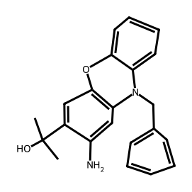 CC(C)(O)c1cc2c(cc1N)N(Cc1ccccc1)c1ccccc1O2